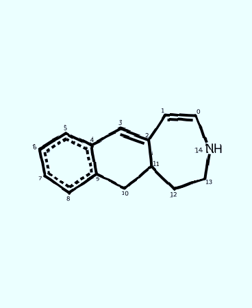 C1=CC2=Cc3ccccc3CC2CCN1